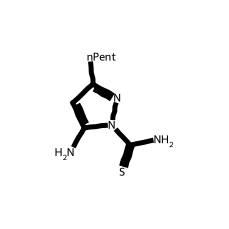 CCCCCc1cc(N)n(C(N)=S)n1